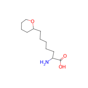 NC(CCCCCC1CCCCO1)C(=O)O